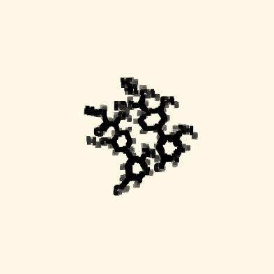 CC1CN(c2cc(Cl)nnc2N)CCN1C(C)C(=O)O.CNC(=O)C(C)N1CCN(c2cc(Cl)nnc2N)CC1C.Cl.Cl